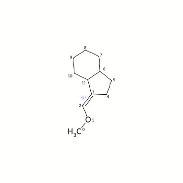 CO/C=C1\CCC2CCCCC12